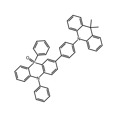 CC1(C)c2ccccc2N(c2ccc(-c3ccc4c(c3)P(=O)(c3ccccc3)c3ccccc3N4c3ccccc3)cc2)c2ccccc21